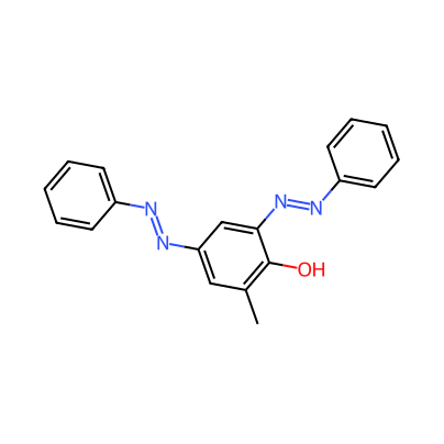 Cc1cc(N=Nc2ccccc2)cc(N=Nc2ccccc2)c1O